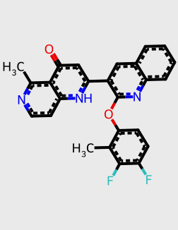 Cc1c(Oc2nc3ccccc3cc2-c2cc(=O)c3c(C)nccc3[nH]2)ccc(F)c1F